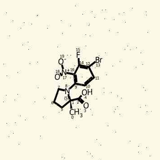 C[C@@]1(C(=O)O)CCCN1c1ccc(Br)c(F)c1[N+](=O)[O-]